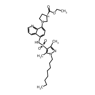 CCCCCCCCn1nc(C)c(S(=O)(=O)Nc2ccc(N3CC[C@@H](C(=O)OCC)C3)c3ncccc23)c1C